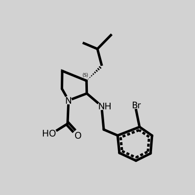 CC(C)C[C@H]1CCN(C(=O)O)C1NCc1ccccc1Br